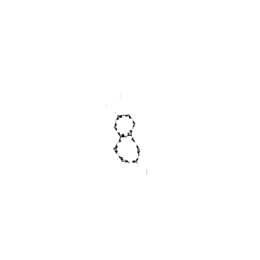 COc1ccc2cc(S)ccc2c1